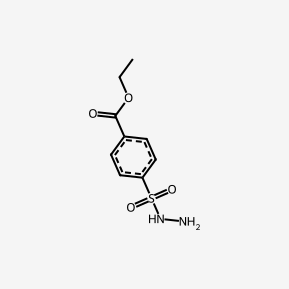 CCOC(=O)c1ccc(S(=O)(=O)NN)cc1